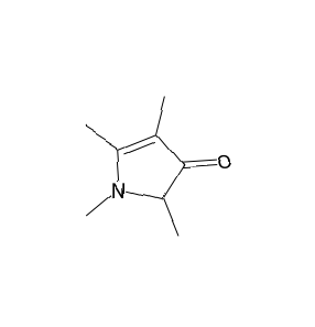 CC1=C(C)N(C)C(C)C1=O